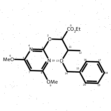 CCOC(=O)C(Oc1nc(OC)cc(OC)n1)C(C)OCc1ccccc1